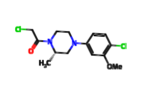 COc1cc(N2CCN(C(=O)CCl)[C@@H](C)C2)ccc1Cl